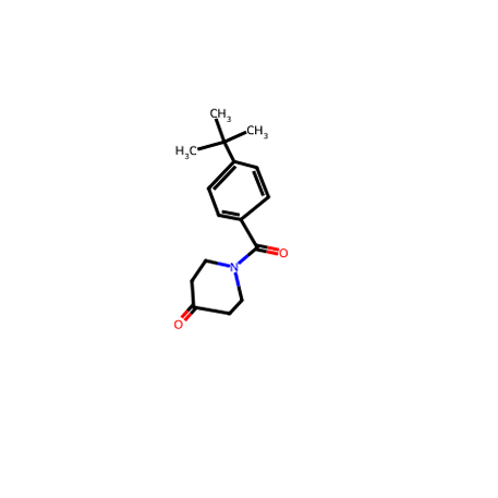 CC(C)(C)c1ccc(C(=O)N2CCC(=O)CC2)cc1